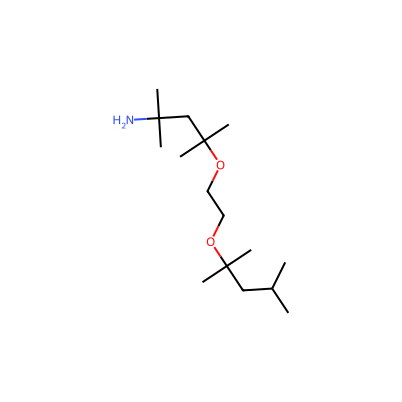 CC(C)CC(C)(C)OCCOC(C)(C)CC(C)(C)N